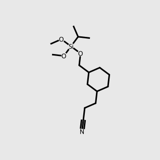 CO[Si](OC)(OCC1CCCC(CCC#N)C1)C(C)C